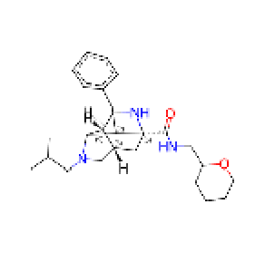 CC(C)CN1C[C@H]2C[C@]3(C(=O)NCC4CCCCO4)NC[C@H]2C1[C@H]3Cc1ccccc1